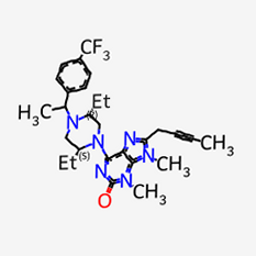 CC#CCc1nc2c(N3C[C@@H](CC)N(C(C)c4ccc(C(F)(F)F)cc4)C[C@@H]3CC)nc(=O)n(C)c2n1C